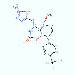 COc1ccc(-c2ccc(C(F)(F)F)cc2)cc1C(Cc1nnc(C)o1)NC(=O)O